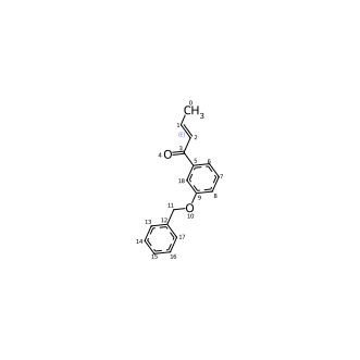 C/C=C/C(=O)c1cccc(OCc2ccccc2)c1